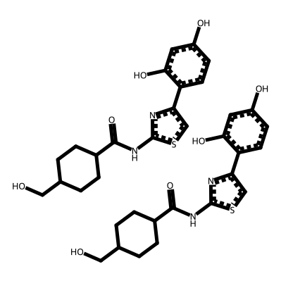 O=C(Nc1nc(-c2ccc(O)cc2O)cs1)C1CCC(CO)CC1.O=C(Nc1nc(-c2ccc(O)cc2O)cs1)C1CCC(CO)CC1